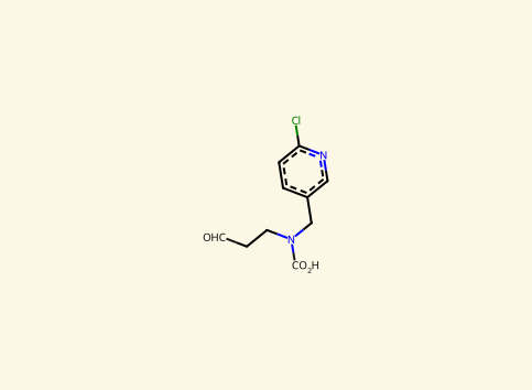 O=CCCN(Cc1ccc(Cl)nc1)C(=O)O